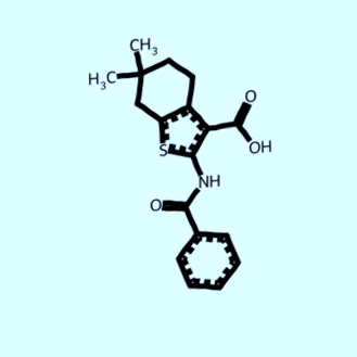 CC1(C)CCc2c(sc(NC(=O)c3ccccc3)c2C(=O)O)C1